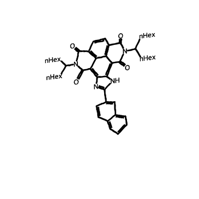 CCCCCCC(CCCCCC)N1C(=O)c2ccc3c4c(c5[nH]c(-c6ccc7ccccc7c6)nc5c(c24)C1=O)C(=O)N(C(CCCCCC)CCCCCC)C3=O